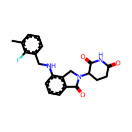 Cc1cccc(CNc2cccc3c2CN(C2CCC(=O)NC2=O)C3=O)c1F